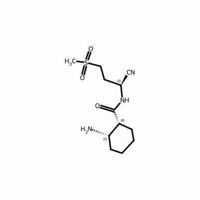 CS(=O)(=O)CC[C@@H](C#N)NC(=O)[C@@H]1CCCC[C@@H]1N